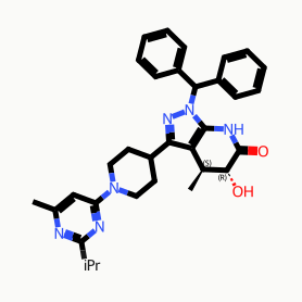 Cc1cc(N2CCC(c3nn(C(c4ccccc4)c4ccccc4)c4c3[C@H](C)[C@@H](O)C(=O)N4)CC2)nc(C(C)C)n1